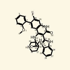 COc1ccccc1-c1cc2c(N[C@H]3CN4CCC3CC4)c(-c3nc4ccccc4[nH]3)c(=O)[nH]c2cc1F